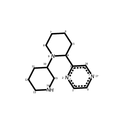 c1cnc(C2CCCCN2C2CCCNC2)cn1